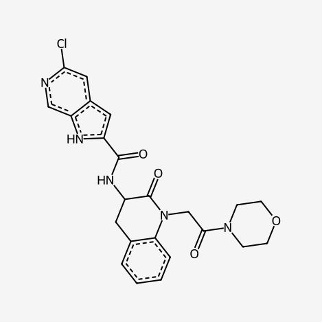 O=C(NC1Cc2ccccc2N(CC(=O)N2CCOCC2)C1=O)c1cc2cc(Cl)ncc2[nH]1